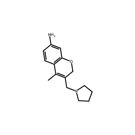 CC1=C(CN2CCCC2)COc2cc(N)ccc21